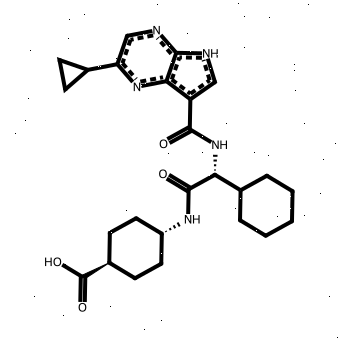 O=C(N[C@@H](C(=O)N[C@H]1CC[C@H](C(=O)O)CC1)C1CCCCC1)c1c[nH]c2ncc(C3CC3)nc12